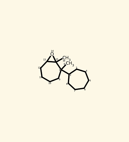 CC1(C2CCCCCC2)CCCCC2OC21C